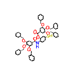 O=C(Nc1ccc(S)cc1OC(=O)c1cc(OCc2ccccc2)c(OCc2ccccc2)c(OCc2ccccc2)c1)c1cc(OCc2ccccc2)c(OCc2ccccc2)c(OCc2ccccc2)c1